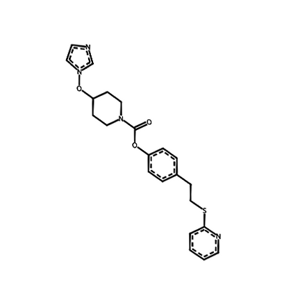 O=C(Oc1ccc(CCSc2ccccn2)cc1)N1CCC(On2ccnc2)CC1